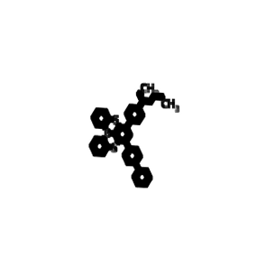 C=C/C(=C\C=C/C)c1ccc(-c2cc(-c3ccc(-c4ccccc4)cc3)c3c4c2Sc2ccccc2B4c2ccccc2S3)cc1